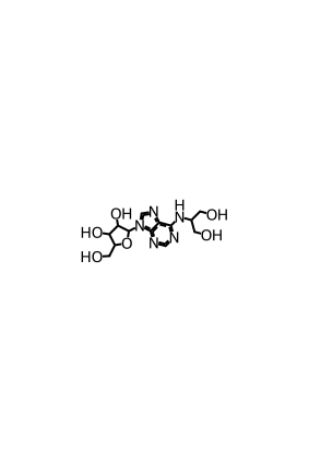 OCC(CO)Nc1ncnc2c1ncn2C1OC(CO)C(O)C1O